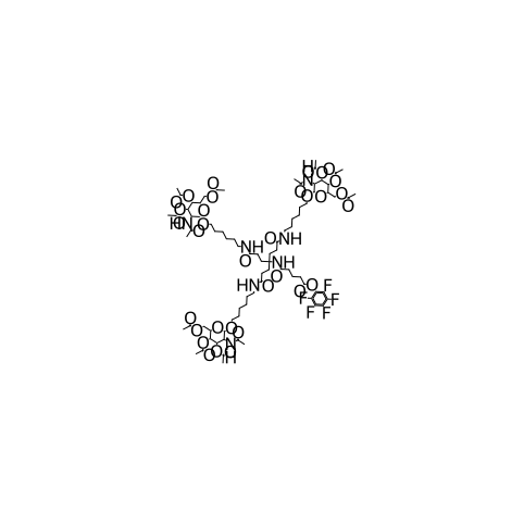 CC(=O)NC1C(OCCCCCCNC(=O)CCC(CCC(=O)NCCCCCCOC2OC(COC(C)=O)C(OC(C)=O)C(OC(C)=O)C2NC(C)=O)(CCC(=O)NCCCCCCOC2OC(COC(C)=O)C(OC(C)=O)C(OC(C)=O)C2NC(C)=O)NC(=O)CCCC(=O)Oc2c(F)c(F)c(F)c(F)c2F)OC(COC(C)=O)C(OC(C)=O)C1OC(C)=O